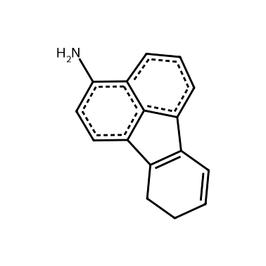 Nc1ccc2c3c(cccc13)C1=C2CCC=C1